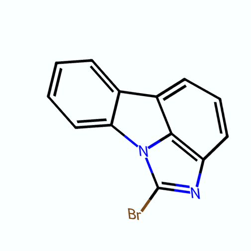 Brc1nc2cccc3c4ccccc4n1c23